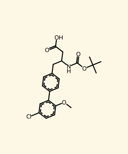 COc1ccc(Cl)cc1-c1ccc(CC(CC(=O)O)NC(=O)OC(C)(C)C)cc1